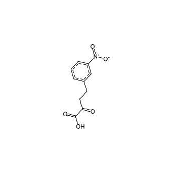 O=C(O)C(=O)CCc1cccc([N+](=O)[O-])c1